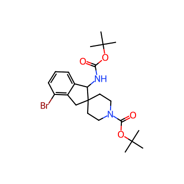 CC(C)(C)OC(=O)NC1c2cccc(Br)c2CC12CCN(C(=O)OC(C)(C)C)CC2